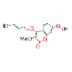 CCC=CCCOc1c(OC)c(=O)oc2cc(OC(C)C)ccc12